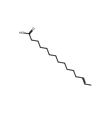 CC=CCCCCCCCCCCCC(=O)O